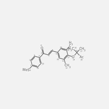 CSc1ccc(C(=O)/C=C/c2cc(C)c(OC(C)(C)C(C)=O)c(C)c2)cc1